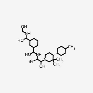 CC1CCC([C@H]2CCN(C(O)[C@H](NC(O)C3CCCC(C(O)NCO)C3)C(C)C)CC2(C)C)CC1